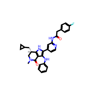 CN1C[C@H](CC2CC2)c2[nH]c(-c3ccnc(NC(=O)Cc4ccc(F)cc4)c3)c(Nc3ccccc3)c2C1=O